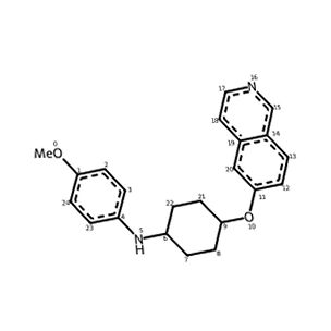 COc1ccc(NC2CCC(Oc3ccc4cnccc4c3)CC2)cc1